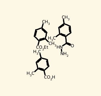 CCOC(=O)c1ccc(C)cc1C.Cc1ccc(C(=O)NN)c(C)c1.Cc1ccc(C(=O)O)c(C)c1